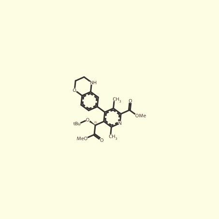 COC(=O)c1nc(C)c([C@H](OC(C)(C)C)C(=O)OC)c(-c2ccc3c(c2)NCCO3)c1C